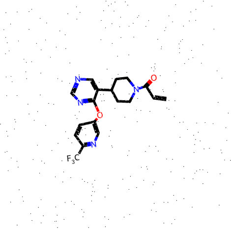 C=CC(=O)N1CCC(c2cncnc2Oc2ccc(C(F)(F)F)nc2)CC1